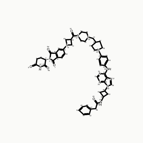 O=C1CC[C@H](N2C(=O)c3ccc(N4CC(C(=O)N5CCN(CC6CCN(c7ccc(Nc8ncnc9c8ncn9C8CC(NC(=O)Cc9ccccc9)C8)cc7)CC6)CC5)C4)cc3C2=O)C(=O)N1